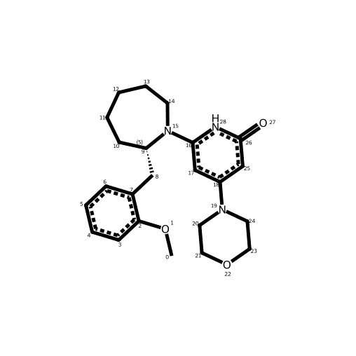 COc1ccccc1C[C@@H]1CCCCCN1c1cc(N2CCOCC2)cc(=O)[nH]1